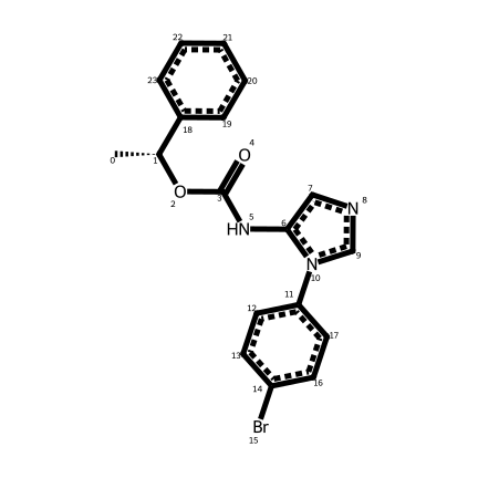 C[C@@H](OC(=O)Nc1cncn1-c1ccc(Br)cc1)c1ccccc1